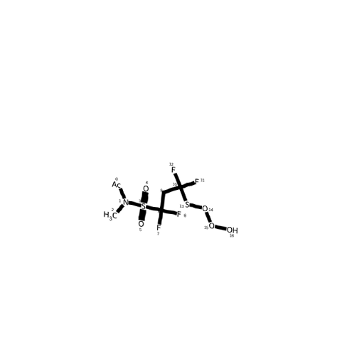 CC(=O)N(C)S(=O)(=O)C(F)(F)CC(F)(F)SOOO